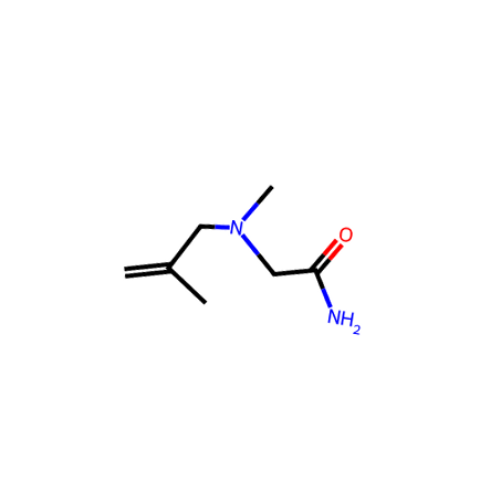 C=C(C)CN(C)CC(N)=O